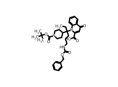 CCC(CCCNC(=O)OCc1ccccc1)(C1CCN(C(=O)OC(C)(C)C)CC1)n1c(C(=O)O)cc(=O)c2ccccc21